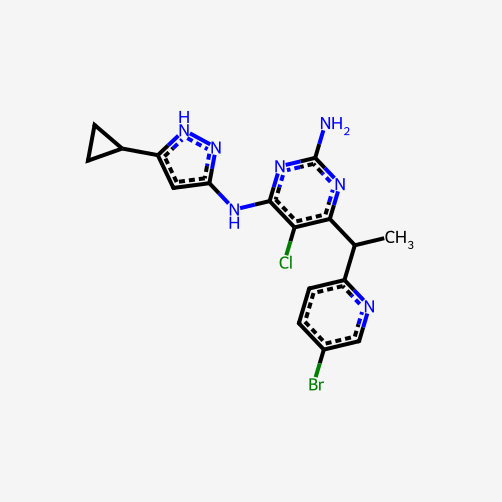 CC(c1ccc(Br)cn1)c1nc(N)nc(Nc2cc(C3CC3)[nH]n2)c1Cl